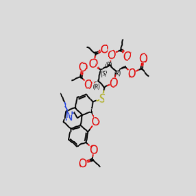 CC(=O)OC[C@H]1OC(SC2C=CC3C4Cc5ccc(OC(C)=O)c6c5C3(CCN4C)C2O6)[C@H](OC(C)=O)[C@@H](OC(C)=O)[C@@H]1OC(C)=O